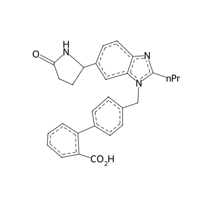 CCCc1nc2ccc(C3CCC(=O)N3)cc2n1Cc1ccc(-c2ccccc2C(=O)O)cc1